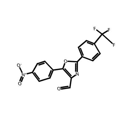 O=Cc1nc(-c2ccc(C(F)(F)F)cc2)oc1-c1ccc([N+](=O)[O-])cc1